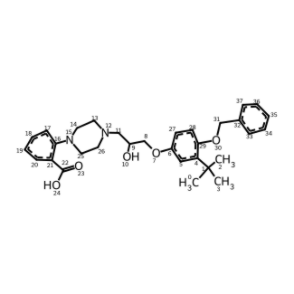 CC(C)(C)c1cc(OCC(O)CN2CCN(c3ccccc3C(=O)O)CC2)ccc1OCc1ccccc1